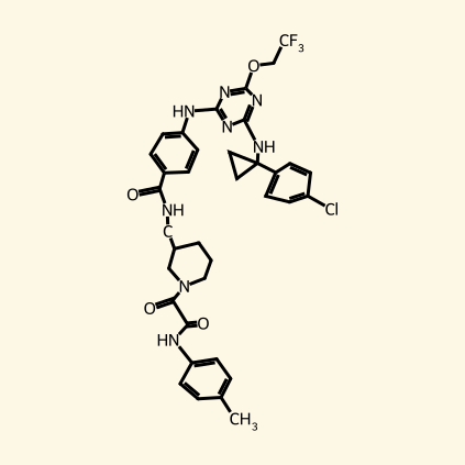 Cc1ccc(NC(=O)C(=O)N2CCCC(CNC(=O)c3ccc(Nc4nc(NC5(c6ccc(Cl)cc6)CC5)nc(OCC(F)(F)F)n4)cc3)C2)cc1